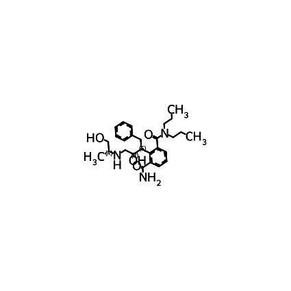 CCCN(CCC)C(=O)c1cccc(C(N)=O)c1[C@H](Cc1ccccc1)[C@@H](O)CN[C@H](C)CO